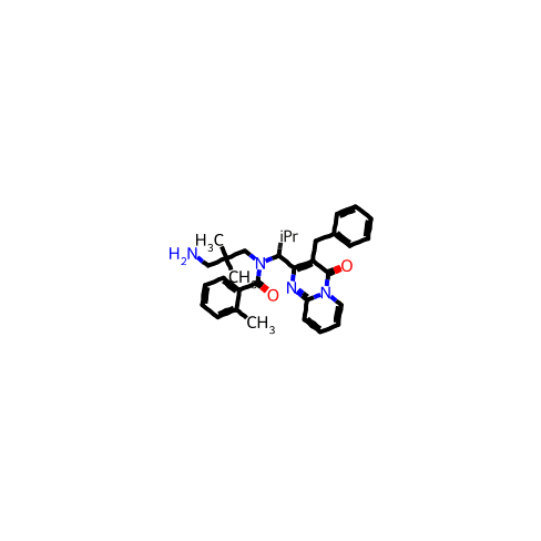 Cc1ccccc1C(=O)N(CC(C)(C)CN)C(c1nc2ccccn2c(=O)c1Cc1ccccc1)C(C)C